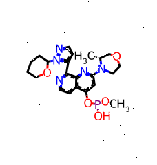 COP(O)Oc1cc(N2CCOC[C@H]2C)nc2c(-c3ccnn3C3CCCCO3)nccc12